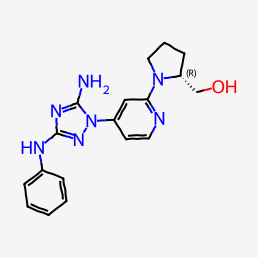 Nc1nc(Nc2ccccc2)nn1-c1ccnc(N2CCC[C@@H]2CO)c1